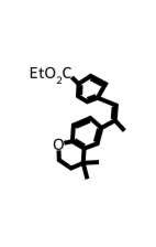 CCOC(=O)c1ccc(/C=C(/C)c2ccc3c(c2)C(C)(C)CCO3)cc1